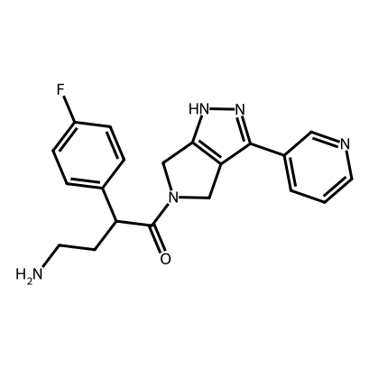 NCCC(C(=O)N1Cc2[nH]nc(-c3cccnc3)c2C1)c1ccc(F)cc1